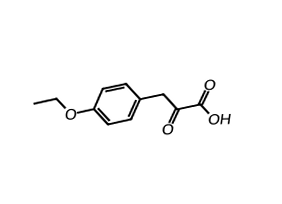 CCOc1ccc(CC(=O)C(=O)O)cc1